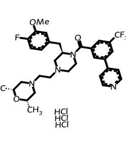 COc1cc(C[C@@H]2CN(CCN3C[C@@H](C)O[C@@H](C)C3)CCN2C(=O)c2cc(-c3ccncc3)cc(C(F)(F)F)c2)ccc1F.Cl.Cl.Cl